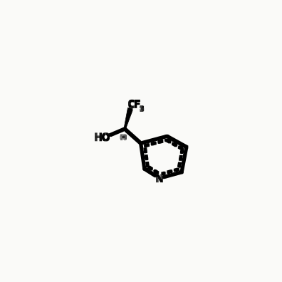 O[C@H](c1cccnc1)C(F)(F)F